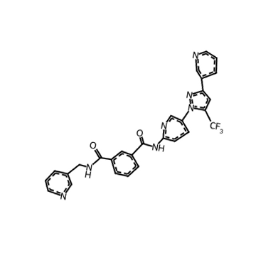 O=C(NCc1cccnc1)c1cccc(C(=O)Nc2ccc(-n3nc(-c4cccnc4)cc3C(F)(F)F)cn2)c1